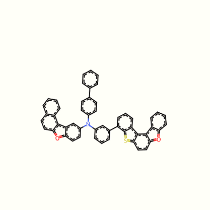 c1ccc(-c2ccc(N(c3cccc(-c4cccc5c4sc4ccc6oc7ccccc7c6c45)c3)c3ccc4oc5ccc6ccccc6c5c4c3)cc2)cc1